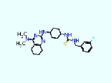 CN(C)c1nc(NC2CCC(NC(=S)NCc3cccc(F)c3)CC2)nc2c1CCCC2